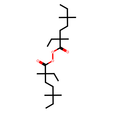 CCC(C)(C)CCC(C)(CC)C(=O)OOC(=O)C(C)(CC)CCC(C)(C)CC